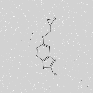 CCCc1nc2cc(OCC3CO3)ccc2s1